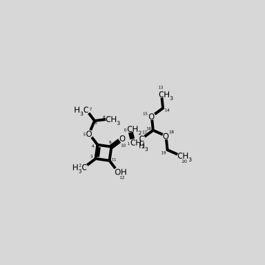 C=C.CC1=C(OC(C)C)C(=O)C1O.CCOC(C)OCC